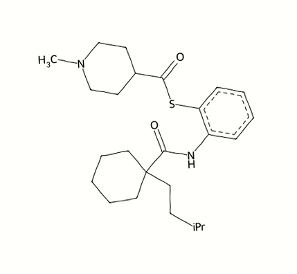 CC(C)CCC1(C(=O)Nc2ccccc2SC(=O)C2CCN(C)CC2)CCCCC1